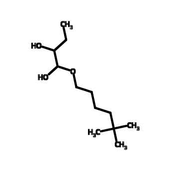 CCC(O)C(O)OCCCCC(C)(C)C